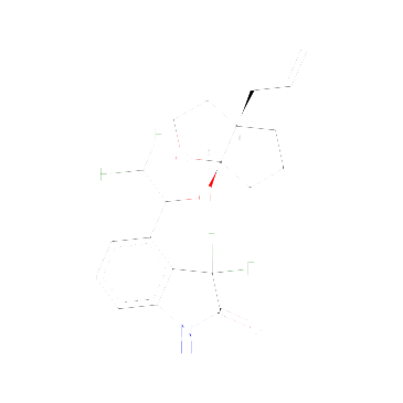 C=CC[C@@]12CCC[C@]1(OC(c1cccc3c1C(F)(F)C(=O)N3)C(F)F)OCC2